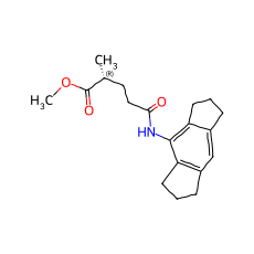 COC(=O)[C@H](C)CCC(=O)Nc1c2c(cc3c1CCC3)CCC2